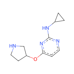 c1cc(OC2CCNC2)nc(NC2CC2)n1